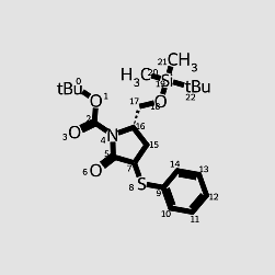 CC(C)(C)OC(=O)N1C(=O)C(Sc2ccccc2)C[C@H]1CO[Si](C)(C)C(C)(C)C